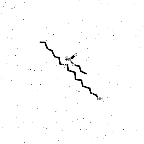 CCCCCCCCCCCCCCCCN.CCCO[SH](=O)=O